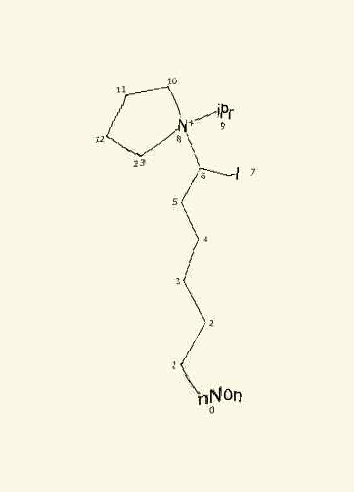 CCCCCCCCCCCCCCC(I)[N+]1(C(C)C)CCCC1